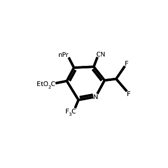 CCCc1c(C#N)c(C(F)F)nc(C(F)(F)F)c1C(=O)OCC